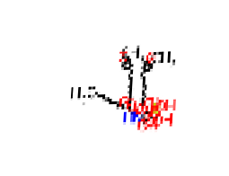 CCCCCCCCCCC[C@@H](CC(=O)N[C@H]1C(O)O[C@H](CO)[C@@H](OS(=O)(=O)O)[C@@H]1OC(=O)CCCCCCCc1ccc(OC)cc1)OC(=O)CCCCCCCc1ccc(OC)cc1